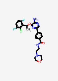 CC(Oc1nc(-c2ccc(C(=O)NCCN3CCOCC3)cc2)cnc1N)c1c(F)ccc(F)c1Cl